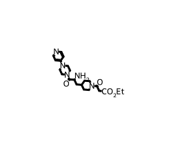 CCOC(=O)CC(=O)N1CCC(CC(N)C(=O)N2CCN(c3ccncc3)CC2)CC1